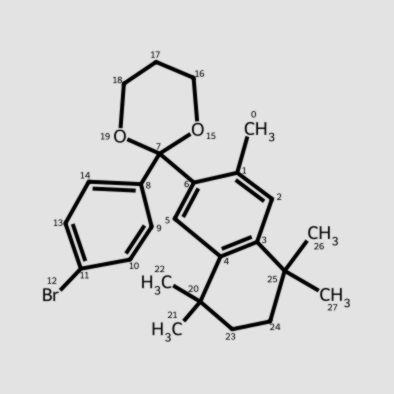 Cc1cc2c(cc1C1(c3ccc(Br)cc3)OCCCO1)C(C)(C)CCC2(C)C